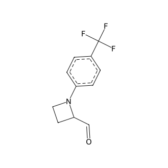 O=CC1CCN1c1ccc(C(F)(F)F)cc1